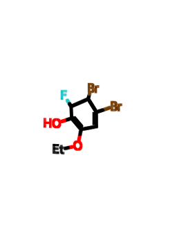 CCOC1=C(O)C(F)C(Br)C(Br)=C1